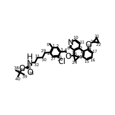 Cc1cc(COC2(c3cnccc3-c3ccccc3OC3CC3)CC2)c(Cl)cc1CCCCNC(=O)OC(C)(C)C